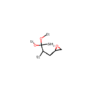 CCOC([SiH3])(OCC)C(CC)CC1CO1